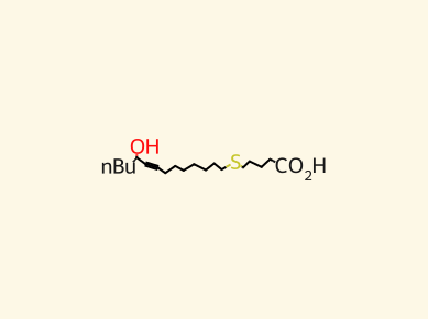 CCCC[C@@H](O)C#CCCCCCCCSCCCCC(=O)O